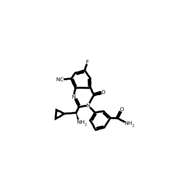 N#Cc1cc(F)cc2c(=O)n(-c3cccc(C(N)=O)c3)c([C@@H](N)C3CC3)nc12